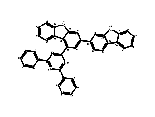 c1ccc(-c2nc(-c3ccccc3)nc(-c3cc(-c4ccc5c(c4)oc4ccccc45)cc4oc5ccccc5c34)n2)cc1